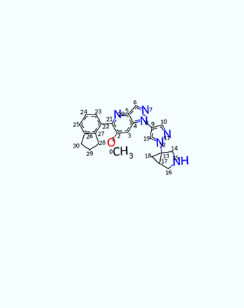 COc1cc2c(cnn2-c2cnn(C34CNCC3C4)c2)nc1-c1cccc2c1CCC2